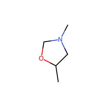 CC1CN(C)CO1